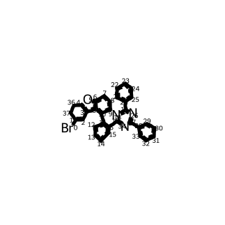 BrC1=Cc2c(oc3cccc(-c4ccccc4-c4nc(-c5ccccc5)nc(-c5ccccc5)n4)c23)CC1